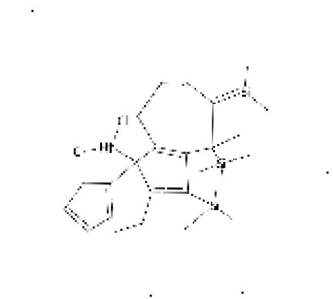 CCC1=C([Si](C)(C)C)C2=C(CCCC(=[Si](C)C)C2(C)[Si](C)(C)C)[C]1(C1=CC=CC1)[Hf]([Cl])[Cl]